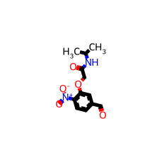 CC(C)NC(=O)COc1cc(C=O)ccc1[N+](=O)[O-]